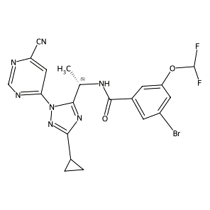 C[C@H](NC(=O)c1cc(Br)cc(OC(F)F)c1)c1nc(C2CC2)nn1-c1cc(C#N)ncn1